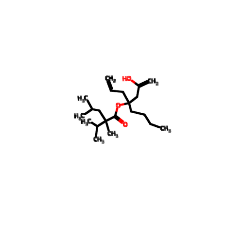 C=CCC(CCCC)(CC(=C)O)OC(=O)C(C)(CC(C)C)C(C)C